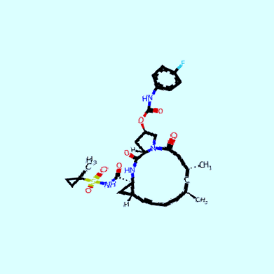 C[C@H]1CC/C=C\[C@@H]2C[C@@]2(C(=O)NS(=O)(=O)C2(C)CC2)NC(=O)[C@@H]2C[C@@H](OC(=O)Nc3ccc(F)cc3)CN2C(=O)C[C@H](C)C1